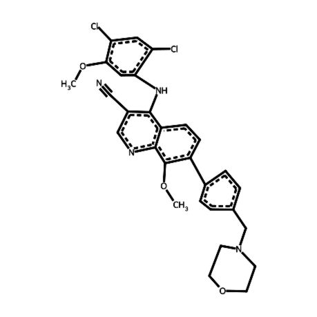 COc1cc(Nc2c(C#N)cnc3c(OC)c(-c4ccc(CN5CCOCC5)cc4)ccc23)c(Cl)cc1Cl